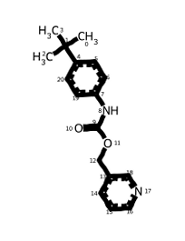 CC(C)(C)c1ccc(NC(=O)OCc2cccnc2)cc1